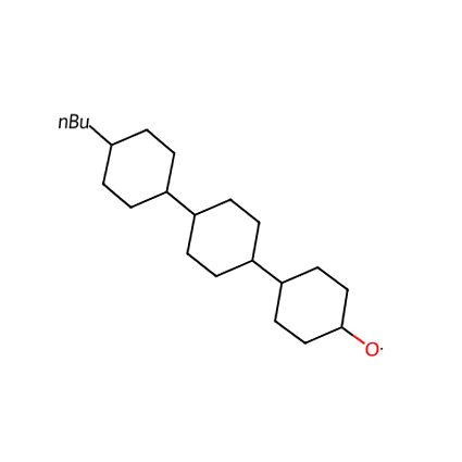 CCCCC1CCC(C2CCC(C3CCC([O])CC3)CC2)CC1